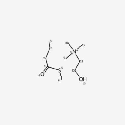 CCCC(=O)SI.C[N+](C)(C)CCO